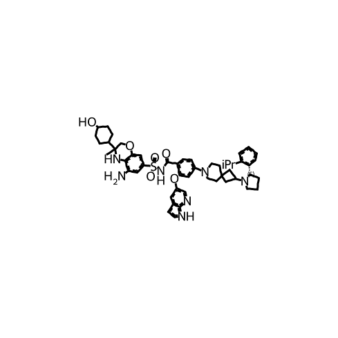 CC(C)c1ccccc1[C@@H]1CCCN1C1CC2(CCN(c3ccc(C(=O)NS(=O)(=O)c4cc(N)c5c(c4)OCC(C)(C4CCC(O)CC4)N5)c(Oc4cnc5[nH]ccc5c4)c3)CC2)C1